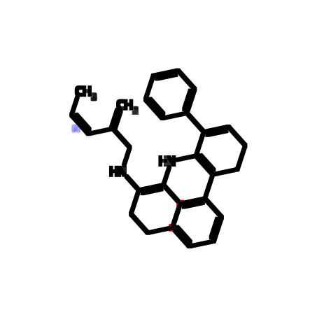 C=C(/C=C\C)CNC1=C(NC2=C(c3ccccc3)CCC=C2c2ccccc2)CCCC1